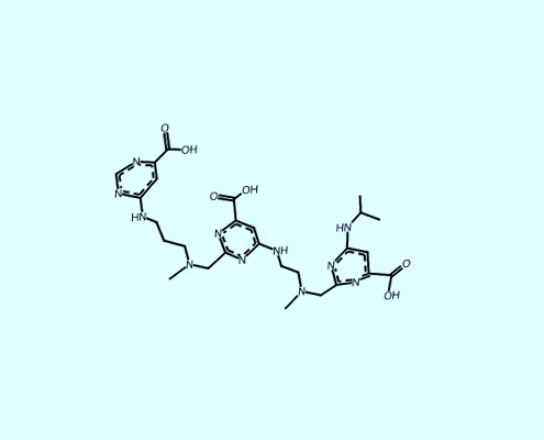 CC(C)Nc1cc(C(=O)O)nc(CN(C)CCNc2cc(C(=O)O)nc(CN(C)CCCNc3cc(C(=O)O)ncn3)n2)n1